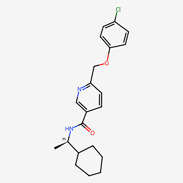 C[C@@H](NC(=O)c1ccc(COc2ccc(Cl)cc2)nc1)C1CCCCC1